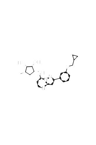 [CH2][C@@H]1C[C@@H](Nc2ccnc3cc(-c4cccc(SCC5CC5)c4)nn23)[C@H](O)[C@@H]1O